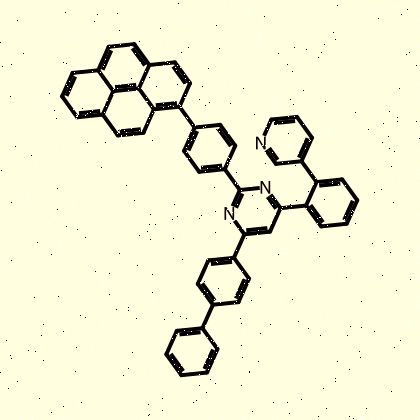 c1ccc(-c2ccc(-c3cc(-c4ccccc4-c4cccnc4)nc(-c4ccc(-c5ccc6ccc7cccc8ccc5c6c78)cc4)n3)cc2)cc1